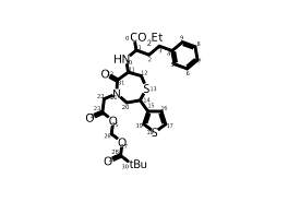 CCOC(=O)C(CCc1ccccc1)NC1CSC(c2ccsc2)CN(CC(=O)OCOC(=O)C(C)(C)C)C1=O